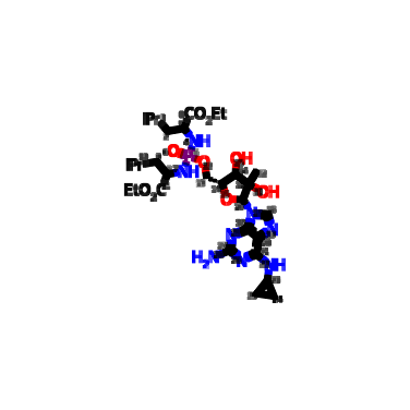 CCOC(=O)C(CC(C)C)NP(=O)(NC(CC(C)C)C(=O)OCC)OC[C@H]1OC(n2cnc3c(NC4CC4)nc(N)nc32)C(C)(O)C1O